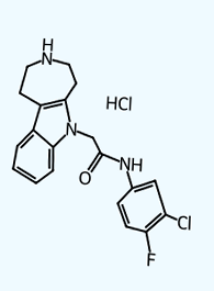 Cl.O=C(Cn1c2c(c3ccccc31)CCNCC2)Nc1ccc(F)c(Cl)c1